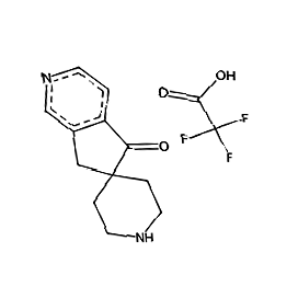 O=C(O)C(F)(F)F.O=C1c2ccncc2CC12CCNCC2